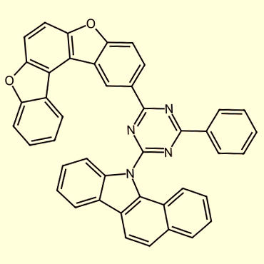 c1ccc(-c2nc(-c3ccc4oc5ccc6oc7ccccc7c6c5c4c3)nc(-n3c4ccccc4c4ccc5ccccc5c43)n2)cc1